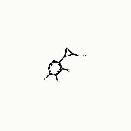 CCOC(=O)C1CC1c1ccc(F)c(Cl)c1Cl